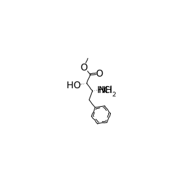 COC(=O)[C@@H](O)[C@H](N)Cc1ccccc1.Cl